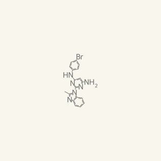 Cc1nc2ccccc2n1-c1nc(N)cc(Nc2ccc(Br)cc2)n1